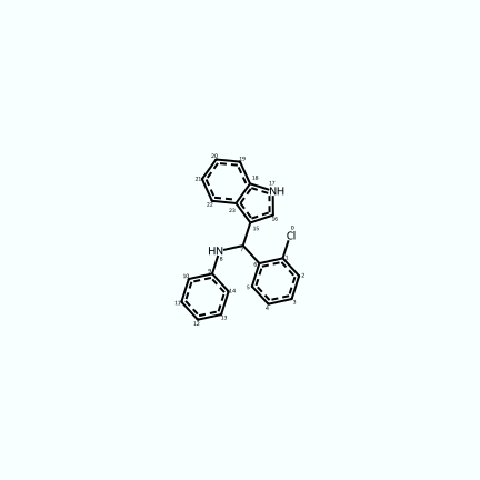 Clc1ccccc1C(Nc1ccccc1)c1c[nH]c2ccccc12